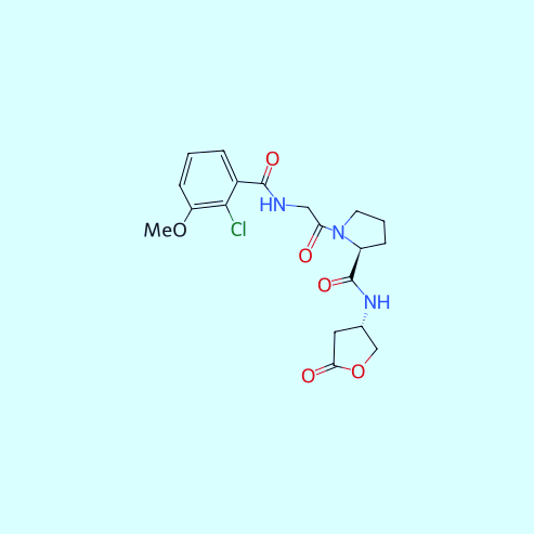 COc1cccc(C(=O)NCC(=O)N2CCC[C@H]2C(=O)N[C@@H]2COC(=O)C2)c1Cl